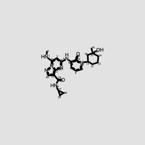 CNc1cc(Nc2cccn(C3CCCC(C)(O)C3)c2=O)nc2c(C(=O)NC3CC3)cnn12